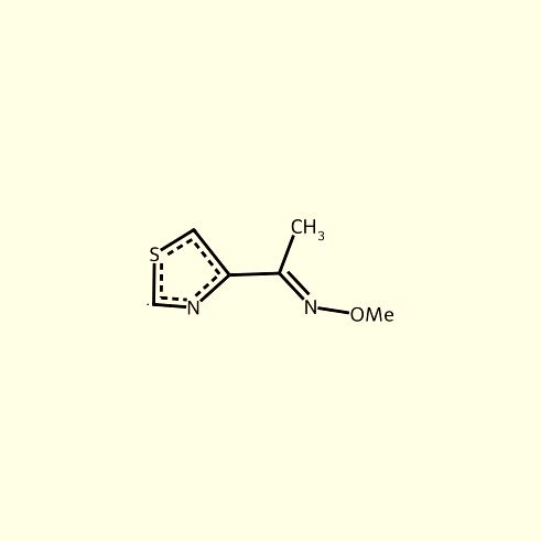 CO/N=C(\C)c1cs[c]n1